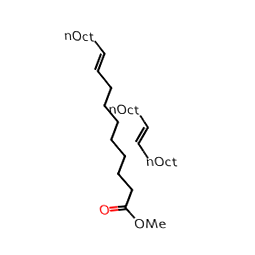 CCCCCCCCC=CCCCCCCCC.CCCCCCCCC=CCCCCCCCC(=O)OC